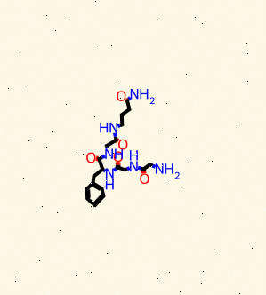 NCC(=O)NCC(=O)NC(Cc1ccccc1)C(=O)NCC(=O)NCCCC(N)=O